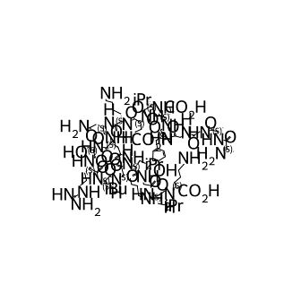 CC[C@H](C)[C@H](NC(=O)[C@H](CCCNC(=N)N)NC(=O)[C@H](CO)NC(=O)[C@H](CC(N)=O)NC(=O)[C@H](CC(N)=O)NC(=O)[C@H](CCCCN)NC(=O)[C@H](CCC(=O)O)NC(=O)[C@@H](NC(=O)[C@H](CC(=O)O)NC(=O)[C@H](Cc1ccc(O)cc1)NC(=O)CNC(=O)CNC(=O)[C@H](C)NC(=O)[C@H](C)N)C(C)C)C(=O)N[C@@H](CCCCN)C(=O)N[C@@H](CC(C)C)C(=O)NCC(=O)N[C@@H](CC(C)C)C(=O)N[C@@H](CCCCN)C(=O)O